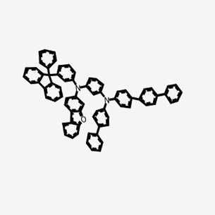 c1ccc(-c2ccc(-c3ccc(N(c4ccc(-c5ccccc5)cc4)c4cccc(N(c5cccc(C6(c7ccccc7)c7ccccc7-c7ccccc76)c5)c5ccc6c(c5)oc5ccccc56)c4)cc3)cc2)cc1